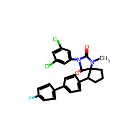 CN1C(=O)N(c2cc(Cl)cc(Cl)c2)C(=O)C12CCCC2c1ccc(-c2ccc(F)cc2)cc1